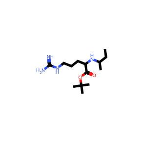 CCC(C)NC(CCCNC(=N)N)C(=O)OC(C)(C)C